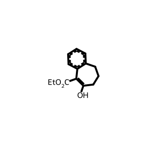 CCOC(=O)C1=C(O)CCCc2ccccc21